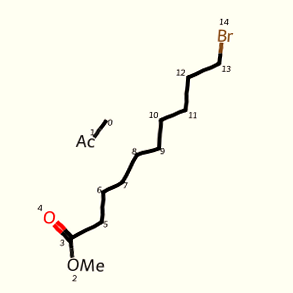 CC(C)=O.COC(=O)CCCCCCCCCBr